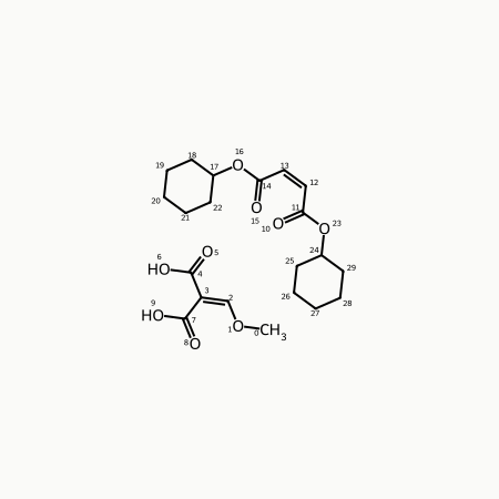 COC=C(C(=O)O)C(=O)O.O=C(/C=C\C(=O)OC1CCCCC1)OC1CCCCC1